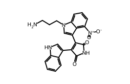 NCCCn1cc(C2=C(c3c[nH]c4ccccc34)C(=O)NC2=O)c2c([N+](=O)[O-])cccc21